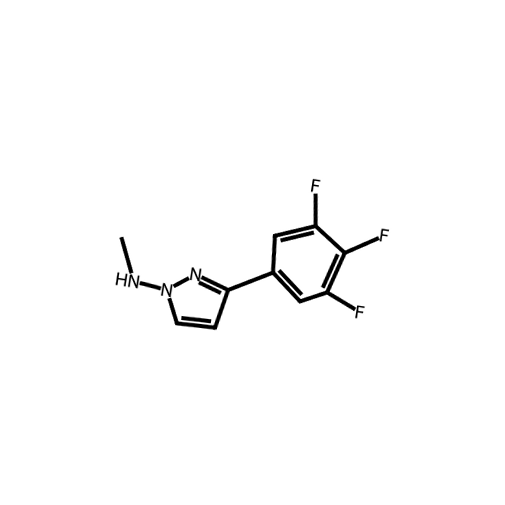 CNn1ccc(-c2cc(F)c(F)c(F)c2)n1